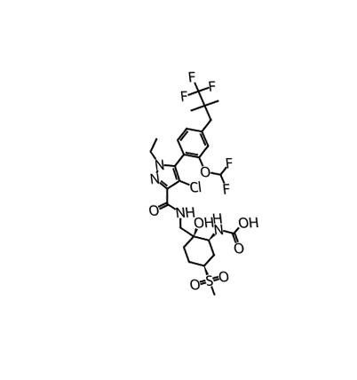 CCn1nc(C(=O)NC[C@@]2(O)CC[C@H](S(C)(=O)=O)C[C@@H]2NC(=O)O)c(Cl)c1-c1ccc(CC(C)(C)C(F)(F)F)cc1OC(F)F